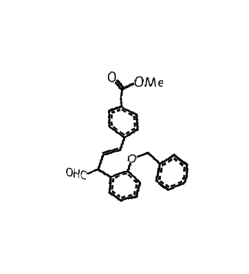 COC(=O)c1ccc(C=CC(C=O)c2ccccc2OCc2ccccc2)cc1